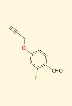 C#CCOc1ccc(C=O)c(F)c1